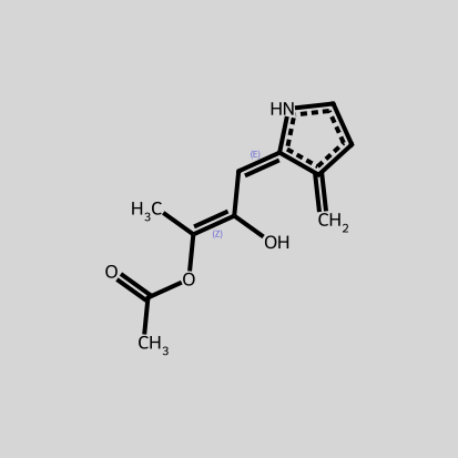 C=c1cc[nH]/c1=C/C(O)=C(\C)OC(C)=O